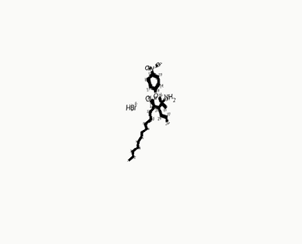 Br.CCCCCCCCCCCC(C(=O)Oc1ccc([N+](=O)[O-])cc1)C(CCC)C(C)(C)N